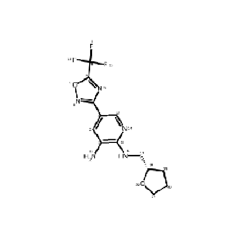 Nc1cc(-c2noc(C(F)(F)F)n2)cnc1NC[C@@H]1CCCO1